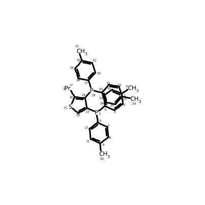 Cc1ccc(P(c2ccc(C)cc2)c2csc(C(C)C)c2P(c2ccc(C)cc2)c2ccc(C)cc2)cc1